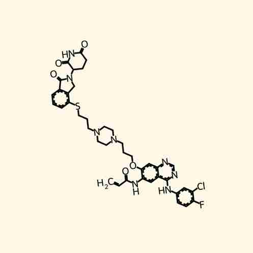 C=CC(=O)Nc1cc2c(Nc3ccc(F)c(Cl)c3)ncnc2cc1OCCCN1CCN(CCCSc2cccc3c2CN(C2CCC(=O)NC2=O)C3=O)CC1